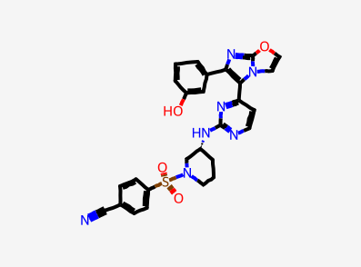 N#Cc1ccc(S(=O)(=O)N2CCC[C@@H](Nc3nccc(-c4c(-c5cccc(O)c5)nc5occn45)n3)C2)cc1